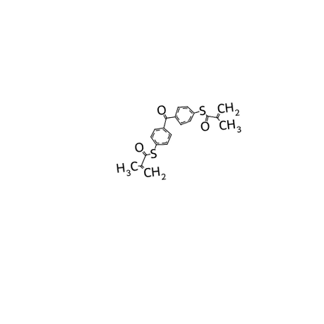 C=C(C)C(=O)Sc1ccc(C(=O)c2ccc(SC(=O)C(=C)C)cc2)cc1